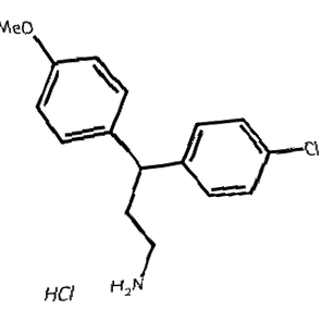 COc1ccc(C(CCN)c2ccc(Cl)cc2)cc1.Cl